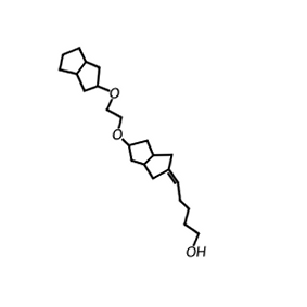 OCCCCC=C1CC2CC(OCCOC3CC4CCCC4C3)CC2C1